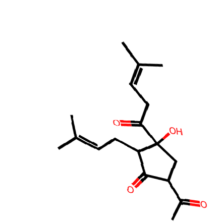 CC(=O)C1CC(O)(C(=O)CC=C(C)C)C(CC=C(C)C)C1=O